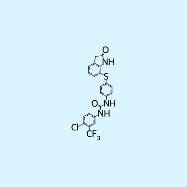 O=C1Cc2cccc(Sc3ccc(NC(=O)Nc4ccc(Cl)c(C(F)(F)F)c4)cc3)c2N1